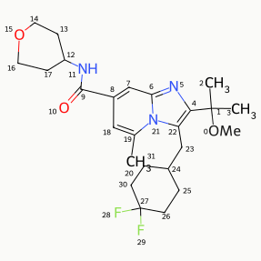 COC(C)(C)c1nc2cc(C(=O)NC3CCOCC3)cc(C)n2c1CC1CCC(F)(F)CC1